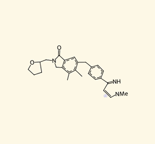 CN/C=C\C(=N)c1ccc(Cc2cc3c(c(C)c2C)CN(CC2CCCO2)C3=O)cc1